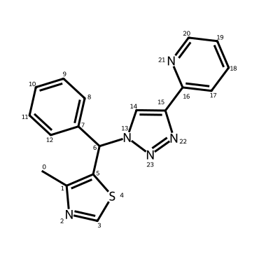 Cc1ncsc1C(c1ccccc1)n1cc(-c2ccccn2)nn1